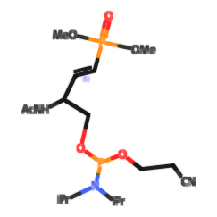 COP(=O)(/C=C/C(COP(OCCC#N)N(C(C)C)C(C)C)NC(C)=O)OC